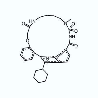 CN1CCCCNC(=O)COc2ccccc2-c2c(C3CCCCC3)c3ccc(cc3n2C)C(=O)NS1(=O)=O